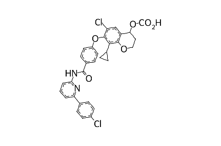 O=C(O)OC1CCOc2c1cc(Cl)c(Oc1ccc(C(=O)Nc3cccc(-c4ccc(Cl)cc4)n3)cc1)c2C1CC1